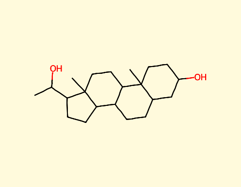 CC(O)C1CCC2C3CCC4CC(O)CCC4(C)C3CCC12C